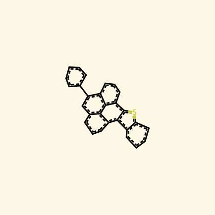 c1ccc(-c2cc3cccc4c5c6ccccc6sc5c5cccc2c5c34)cc1